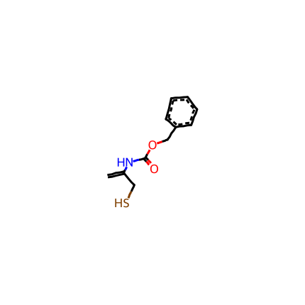 C=C(CS)NC(=O)OCc1ccccc1